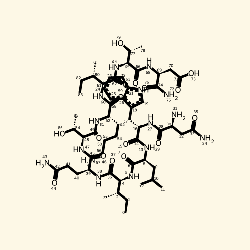 CC[C@H](C)[C@H](NC(=O)[C@H](CC(C)C)NC(=O)[C@H](Cc1c[nH]c2ccccc12)NC(=O)[C@@H](N)CC(N)=O)C(=O)N[C@@H](CCC(N)=O)C(=O)N[C@H](C(=O)N[C@@H](CCCCN)C(=O)N[C@H](C(=O)N[C@H](C(=O)N[C@@H](CC(=O)O)C(N)=O)[C@@H](C)O)[C@@H](C)CC)[C@@H](C)O